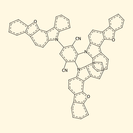 N#Cc1cc(-n2c3ccccc3c3c4oc5ccccc5c4ccc32)c(C#N)c(-n2c3ccccc3c3c4oc5ccccc5c4ccc32)c1-n1c2ccccc2c2c3oc4ccccc4c3ccc21